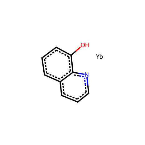 Oc1cccc2cccnc12.[Yb]